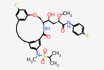 CO[C@H](C[C@H](O)[C@@H]1COc2cc(F)cc(c2)CCCCc2cc(cc(N(C)S(=O)(=O)C(C)C)c2)C(=O)N1)C(=O)Nc1ccc(F)cc1